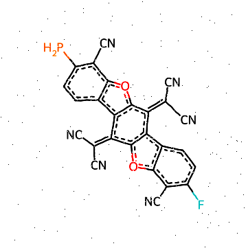 N#CC(C#N)=c1c2oc3c(C#N)c(P)ccc3c2c(=C(C#N)C#N)c2oc3c(C#N)c(F)ccc3c12